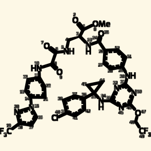 COC(=O)[C@H](CNC(=O)C(=O)Nc1ccc(-n2ccc(C(F)(F)F)n2)cc1)NC(=O)c1ccc(Nc2nc(NC3(c4ccc(Cl)cc4)CC3)nc(OCC(F)(F)F)n2)cc1